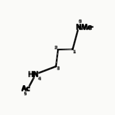 C[N]CCCNC(C)=O